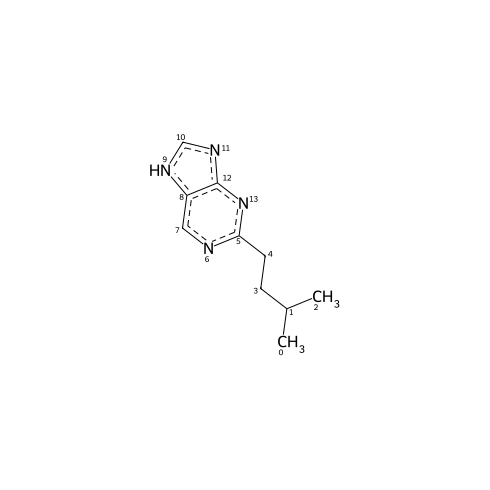 CC(C)CCc1ncc2[nH]cnc2n1